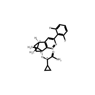 CC1(C)[C@H]2CC[C@]1(O[C@@H](C(N)=O)C1CC1)c1nnc(-c3c(F)cccc3F)cc12